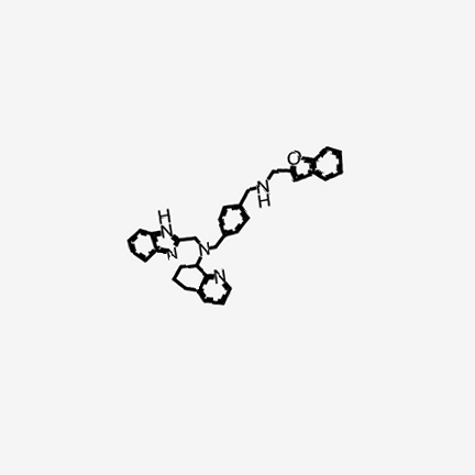 c1cnc2c(c1)CCCC2N(Cc1ccc(CNCc2cc3ccccc3o2)cc1)Cc1nc2ccccc2[nH]1